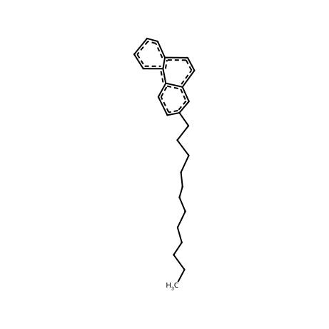 CCCCCCCCCCCCc1ccc2c(ccc3ccccc32)c1